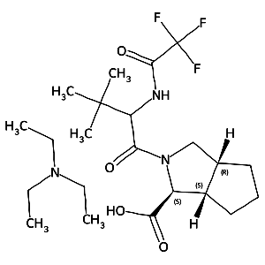 CC(C)(C)C(NC(=O)C(F)(F)F)C(=O)N1C[C@@H]2CCC[C@@H]2[C@H]1C(=O)O.CCN(CC)CC